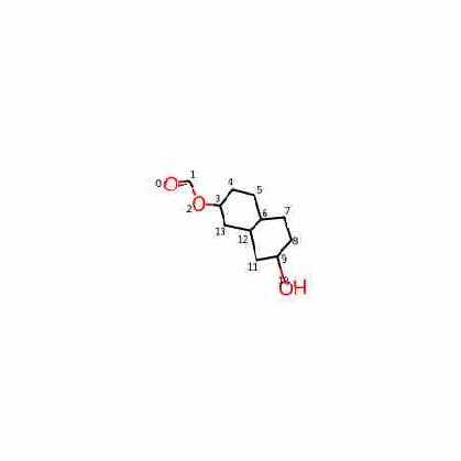 O=COC1CCC2CCC(O)CC2C1